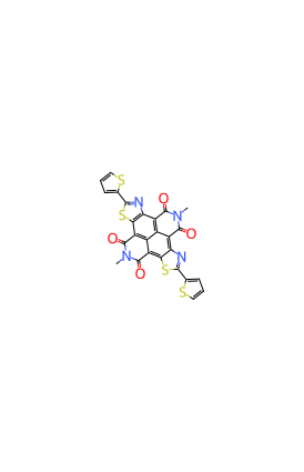 CN1C(=O)c2c3nc(-c4cccs4)sc3c3c4c(c5sc(-c6cccs6)nc5c(c24)C1=O)C(=O)N(C)C3=O